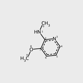 CNc1n[c]ccc1OC